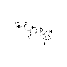 CC(C)NC(=O)Cn1ncc(N[C@@H]2C[C@@H]3C[C@H]([C@H]2C)C3(C)C)cc1=O